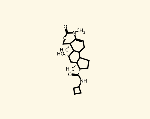 CN1C(=O)CC[C@@]2(C)C1=CCC1C2[C@@H](O)C[C@@]2(C)C1CC[C@@H]2C(=O)NC1CCC1